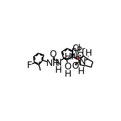 CCCN[C@H]1C[C@H]2CC[C@@H](C1)N2S(=O)(=O)c1c(Cl)ccc(NC(=O)Nc2cccc(F)c2C)c1O